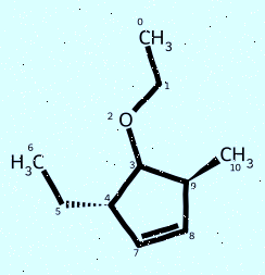 CCOC1[C@@H](CC)C=C[C@@H]1C